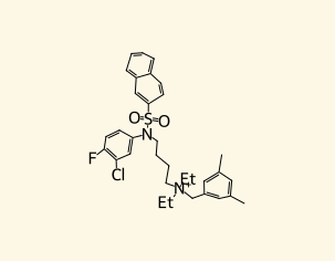 CC[N+](CC)(CCCCN(c1ccc(F)c(Cl)c1)S(=O)(=O)c1ccc2ccccc2c1)Cc1cc(C)cc(C)c1